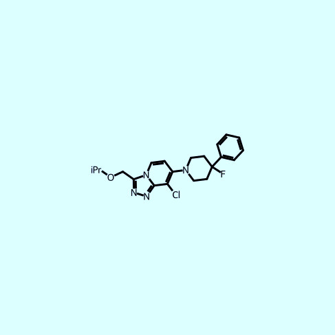 CC(C)OCc1nnc2c(Cl)c(N3CCC(F)(c4ccccc4)CC3)ccn12